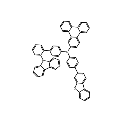 c1ccc(-n2c3ccccc3c3ccccc32)c(-c2ccc(N(c3ccc(-c4ccc5c(c4)oc4ccccc45)cc3)c3ccc4c5ccccc5c5ccccc5c4c3)cc2)c1